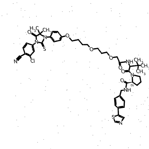 CC(C)(C)C(NC(=O)COCCCOCCCCOc1ccc(N2C(=S)N(c3ccc(C#N)c(Cl)c3)C(=O)C2(C)C)cc1)C(=O)N1CCC[C@H]1C(=O)NCc1ccc(-c2cncs2)cc1